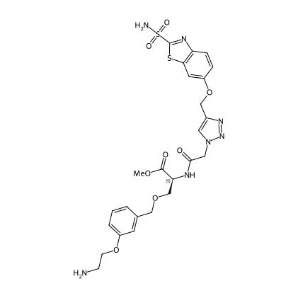 COC(=O)[C@H](COCc1cccc(OCCN)c1)NC(=O)Cn1cc(COc2ccc3nc(S(N)(=O)=O)sc3c2)nn1